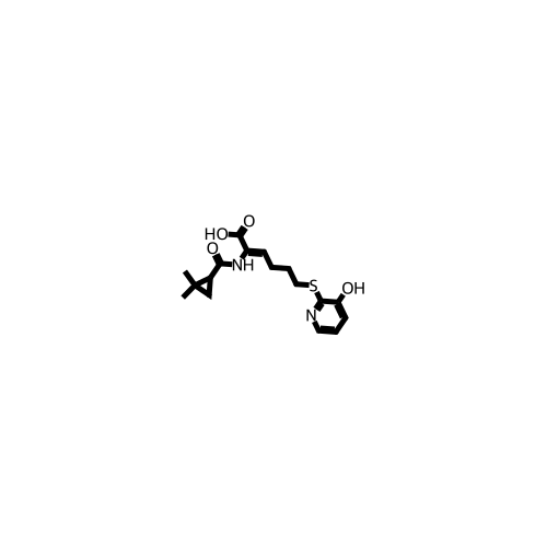 CC1(C)CC1C(=O)NC(=CCCCSc1ncccc1O)C(=O)O